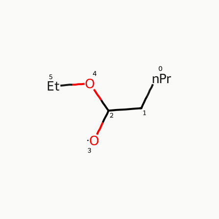 CCCCC([O])OCC